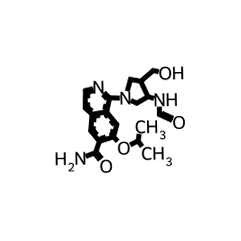 CC(C)Oc1cc2c(N3CC(CO)C(NC=O)C3)nccc2cc1C(N)=O